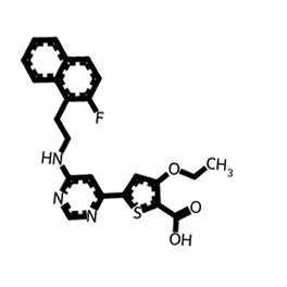 CCOc1cc(-c2cc(NCCc3c(F)ccc4ccccc34)ncn2)sc1C(=O)O